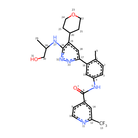 Cc1ccc(NC(=O)c2ccnc(C(F)(F)F)c2)cc1-c1cc(C2CCOCC2)c(NC(C)CO)nn1